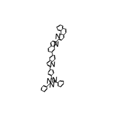 c1ccc(-c2nc(-c3ccccc3)nc(-c3ccc(-c4ccc5cc(-c6ccc7ccc(-c8ccc9ccc%10ccccc%10c9n8)nc7c6)ccc5n4)cc3)n2)cc1